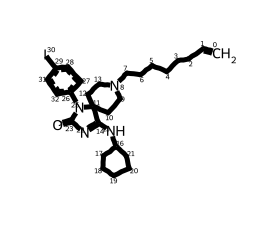 C=CCCCCCCN1CCC2(CC1)C(NC1CCCCC1)=NC(=O)N2c1ccc(I)cc1